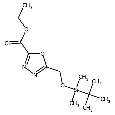 CCOC(=O)c1nnc(CO[Si](C)(C)C(C)(C)C)o1